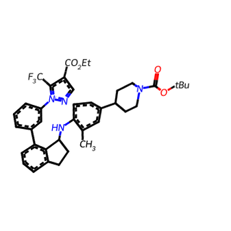 CCOC(=O)c1cnn(-c2cccc(-c3cccc4c3C(Nc3ccc(C5CCN(C(=O)OC(C)(C)C)CC5)cc3C)CC4)c2)c1C(F)(F)F